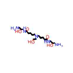 NCC(O)CNC(=O)CCCCN(CCO)CCCCC(=O)NCC(O)CN